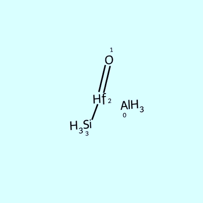 [AlH3].[O]=[Hf][SiH3]